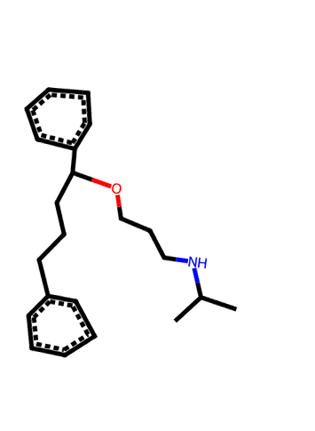 CC(C)NCCCOC(CCCc1ccccc1)c1ccccc1